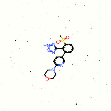 CS(=O)(=O)c1cccc(-c2ccc(N3CCOCC3)nc2)c1-c1nn[nH]n1